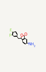 Nc1ccc2c(c1)C(=O)OC2Cc1ccc(F)c(F)c1